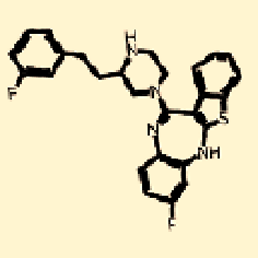 Fc1cccc(CCC2CN(C3=Nc4ccc(F)cc4Nc4sc5ccccc5c43)CCN2)c1